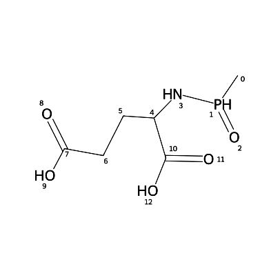 C[PH](=O)NC(CCC(=O)O)C(=O)O